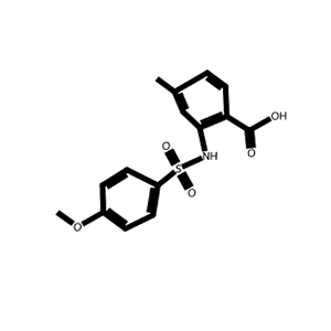 COc1ccc(S(=O)(=O)Nc2cc(C)ccc2C(=O)O)cc1